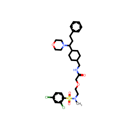 CN(CCOCC(=O)NCC1CCC(C(CCc2ccccc2)N2CCOCC2)CC1)S(=O)(=O)c1ccc(Cl)cc1Cl